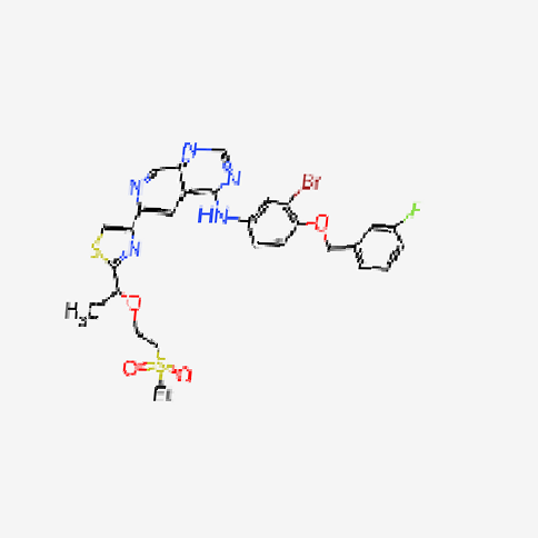 CCS(=O)(=O)CCOC(C)c1nc(-c2cc3c(Nc4ccc(OCc5cccc(F)c5)c(Br)c4)ncnc3cn2)cs1